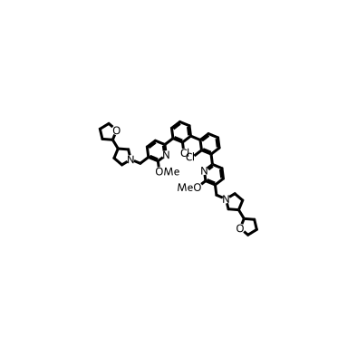 COc1nc(-c2cccc(-c3cccc(-c4ccc(CN5CCC(C6CCCO6)C5)c(OC)n4)c3Cl)c2Cl)ccc1CN1CCC(C2CCCO2)C1